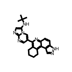 CC(C)(C)Nc1cnc2ncc(-c3nc4ccc5[nH]ncc5c4c4c3CCCC4)cn12